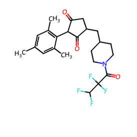 Cc1cc(C)c(C2C(=O)CC(CC3CCN(C(=O)C(F)(F)C(F)F)CC3)C2=O)c(C)c1